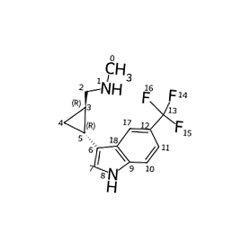 CNC[C@@H]1C[C@H]1c1c[nH]c2ccc(C(F)(F)F)cc12